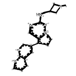 CN1CC(Nc2ncc3c(-c4cnc5ncccc5c4)ccn3n2)C1